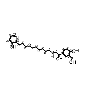 OCc1cc(C(O)CNCCCCCCOCCCc2ncccc2O)ccc1O